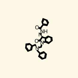 O=C(N/N=C1/C(=O)N(CN(Cc2ccccc2)Cc2ccccc2)c2ccccc21)c1ccccc1